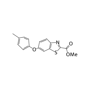 COC(=O)c1nc2ccc(Oc3ccc(C)cc3)cc2s1